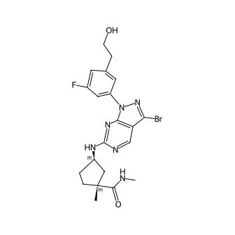 CNC(=O)[C@]1(C)CC[C@@H](Nc2ncc3c(Br)nn(-c4cc(F)cc(CCO)c4)c3n2)C1